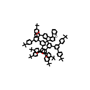 CC(C)(C)c1ccc(-c2cc(-c3ccc(C(C)(C)C)cc3)cc(-c3cc(-c4cc(-c5ccc(C(C)(C)C)cc5)cc(-c5ccc(C(C)(C)C)cc5)c4)cc(C4(c5cc(-c6cc(-c7ccc(C(C)(C)C)cc7)cc(-c7ccc(C(C)(C)C)cc7)c6)cc(-c6cc(-c7ccc(C(C)(C)C)cc7)cc(-c7ccc(C(C)(C)C)cc7)c6)c5)c5cc(-c6ccccc6)ccc5-c5c4ccc4oc6ccccc6c54)c3)c2)cc1